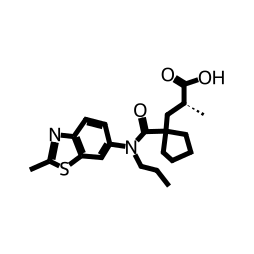 CCCN(C(=O)C1(C[C@@H](C)C(=O)O)CCCC1)c1ccc2nc(C)sc2c1